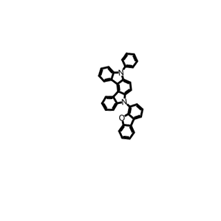 c1ccc(-n2c3ccccc3c3c4c5ccccc5n(-c5cccc6c5oc5ccccc56)c4ccc32)cc1